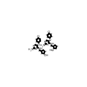 Nc1ncc(Oc2ccc(Cl)cc2)c(NCC2CCC(O)C2)n1.Nc1ncc(Oc2ccc(Cl)cc2)c(NCC2CCCC2O)n1